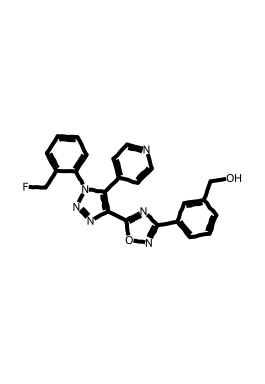 OCc1cccc(-c2noc(-c3nnn(-c4ccccc4CF)c3-c3ccncc3)n2)c1